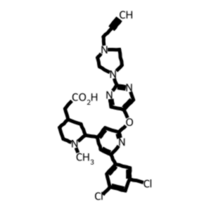 C#CCN1CCN(c2ncc(Oc3cc(C4CC(CC(=O)O)CCN4C)cc(-c4cc(Cl)cc(Cl)c4)n3)cn2)CC1